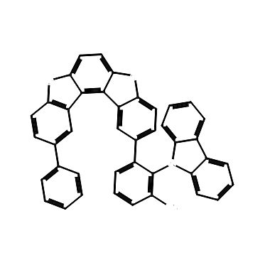 N#Cc1cccc(-c2ccc3oc4ccc5oc6ccc(-c7ccccc7)cc6c5c4c3c2)c1-n1c2ccccc2c2ccccc21